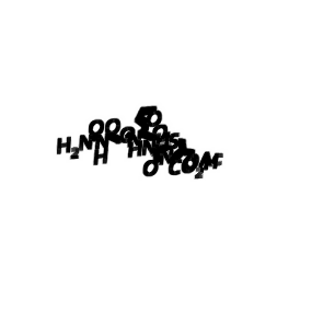 CC(=O)OCC1=C(C(=O)O)N2C(=O)[C@@H](NC(=O)C(=NOCC(=O)NC(N)=O)c3ccco3)[C@H]2SC1